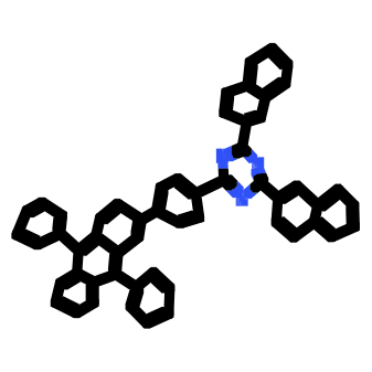 c1ccc(-c2c3ccccc3c(-c3ccccc3)c3cc(-c4ccc(-c5nc(-c6ccc7ccccc7c6)nc(-c6ccc7ccccc7c6)n5)cc4)ccc23)cc1